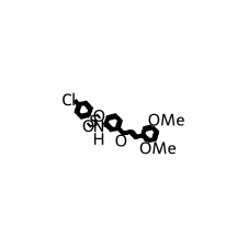 COc1ccc(OC)c(/C=C/C(=O)c2cccc(NS(=O)(=O)c3ccc(Cl)cc3)c2)c1